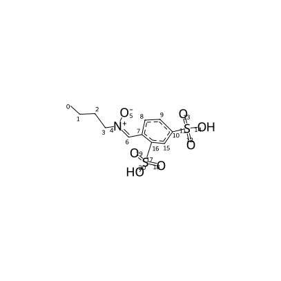 CCCC[N+]([O-])=Cc1ccc(S(=O)(=O)O)cc1S(=O)(=O)O